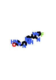 N#Cc1cc(-c2ccnc(Nc3ccc(CN4CCNC(=O)C4)nc3)n2)cnc1N1CCC(F)C1